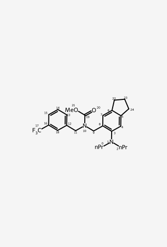 CCCN(CCC)c1cc2c(cc1CN(Cc1cccc(C(F)(F)F)c1)C(=O)OC)CCC2